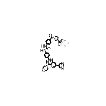 CN(C)[C@@H]1CCN(C(=O)c2ccc(NC(=O)Nc3ccc(-c4nc(N5CCOCC5)c5ncc(-c6cncnc6)cc5n4)cc3)cc2)C1